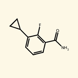 NC(=O)c1cccc(C2CC2)c1F